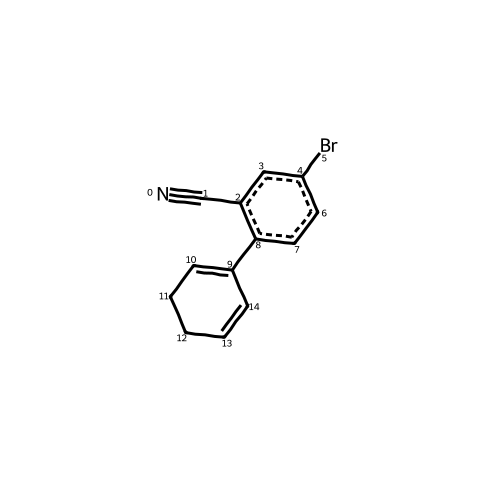 N#Cc1cc(Br)ccc1C1=CCCC=C1